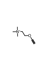 C#COCC[N+](C)(C)C